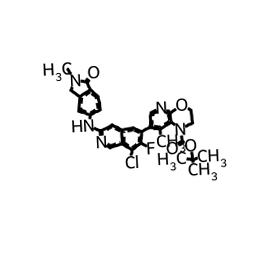 Cc1c(-c2cc3cc(Nc4ccc5c(c4)CN(C)C5=O)ncc3c(Cl)c2F)cnc2c1N(C(=O)OC(C)(C)C)CCO2